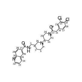 O=C(NCC1CCCN(C2CCN(C(=O)Cc3ccc(Cl)c(Cl)c3)CC2)C1)c1ccc2ncccc2c1